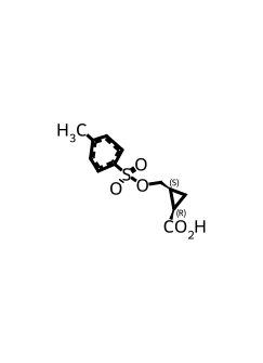 Cc1ccc(S(=O)(=O)OC[C@H]2C[C@H]2C(=O)O)cc1